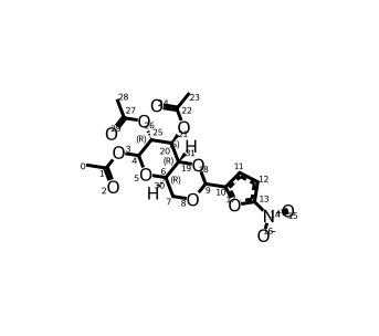 CC(=O)OC1O[C@@H]2COC(c3ccc([N+](=O)[O-])o3)O[C@H]2[C@H](OC(C)=O)[C@H]1OC(C)=O